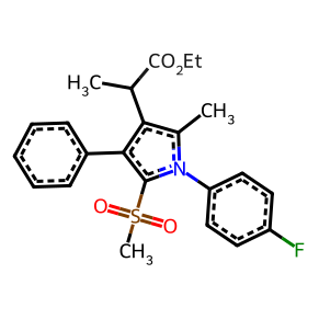 CCOC(=O)C(C)c1c(-c2ccccc2)c(S(C)(=O)=O)n(-c2ccc(F)cc2)c1C